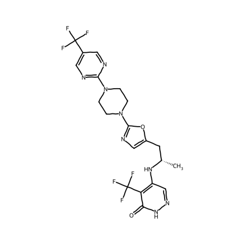 C[C@@H](Cc1cnc(N2CCN(c3ncc(C(F)(F)F)cn3)CC2)o1)Nc1cn[nH]c(=O)c1C(F)(F)F